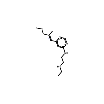 CCNCCNc1cc(/C=C(\C)ONC)ncn1